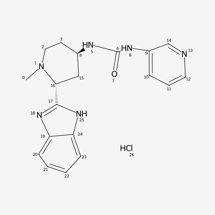 CN1CC[C@@H](NC(=O)Nc2cccnc2)C[C@@H]1c1nc2ccccc2[nH]1.Cl